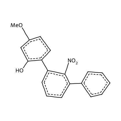 COc1ccc(-c2cccc(-c3ccccc3)c2[N+](=O)[O-])c(O)c1